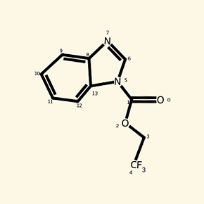 O=C(OCC(F)(F)F)n1cnc2ccccc21